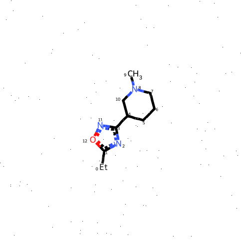 CCc1nc(C2CCCN(C)C2)no1